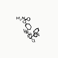 NC(=O)O[C@H]1CCC[C@@H](Nc2ncc(Cl)c(-c3cnn4ccccc34)n2)C1